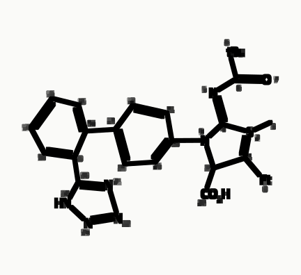 CCC1=S(C)C(=NC(=O)C(C)(C)C)N(c2ccc(-c3ccccc3-c3nnn[nH]3)cc2)C1C(=O)O